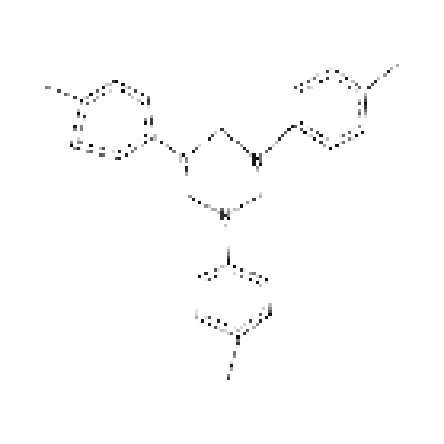 Cc1ccc(N2CN(c3ccc(C)cc3)CN(c3ccc(C)cc3)C2)cc1